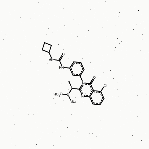 C[C@@H](c1nc2cccc(Cl)c2c(=O)n1-c1cccc(NC(=O)NC2CCC2)c1)N(C(=O)O)C(C)(C)C